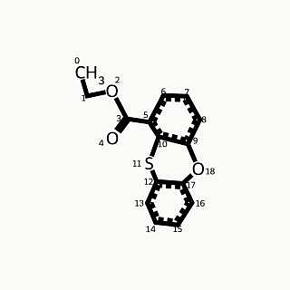 CCOC(=O)c1cccc2c1Sc1ccccc1O2